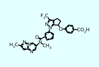 Cc1cc2ncc(N(C)C(=O)c3cccc(-n4nc(C(F)(F)F)c5c4C(Oc4ccc(C(=O)O)cc4)CC5)c3)cn2n1